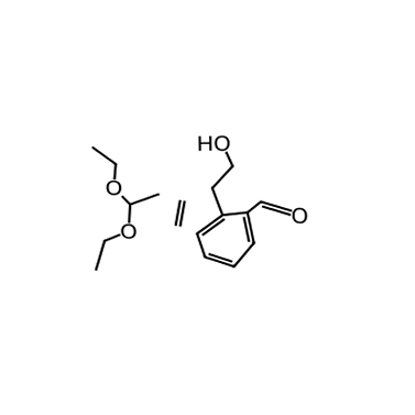 C=C.CCOC(C)OCC.O=Cc1ccccc1CCO